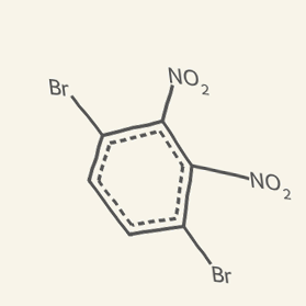 O=[N+]([O-])c1c(Br)ccc(Br)c1[N+](=O)[O-]